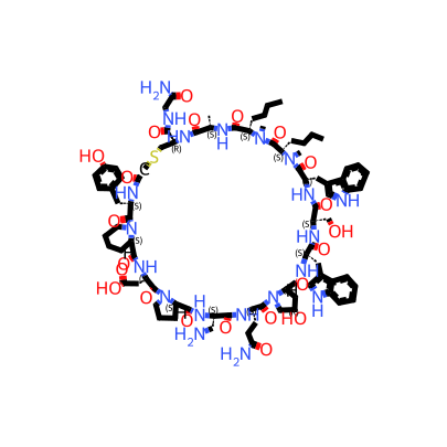 CCCC[C@H]1C(=O)N(C)[C@@H](CCCC)C(=O)N[C@@H](C)C(=O)N[C@H](C(=O)NCC(N)=O)CSCC(=O)N[C@@H](Cc2ccc(O)cc2)C(=O)N2CCCC[C@H]2C(=O)N[C@@H](CC(=O)O)C(=O)N2CCC[C@H]2C(=O)N[C@@H](CN)C(=O)N[C@@H](CCC(N)=O)C(=O)N2C[C@H](O)C[C@H]2C(=O)N[C@@H](Cc2c[nH]c3ccccc23)C(=O)N[C@@H](CO)C(=O)N[C@@H](Cc2c[nH]c3ccccc23)C(=O)N1C